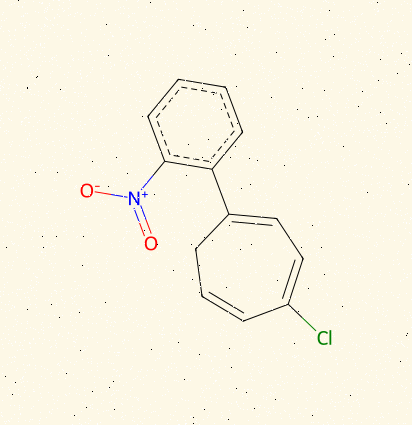 O=[N+]([O-])c1ccccc1C1=CC=C(Cl)C=CC1